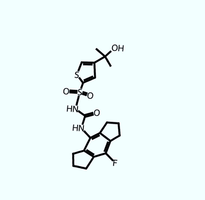 CC(C)(O)c1csc(S(=O)(=O)NC(=O)Nc2c3c(c(F)c4c2CCC4)CCC3)c1